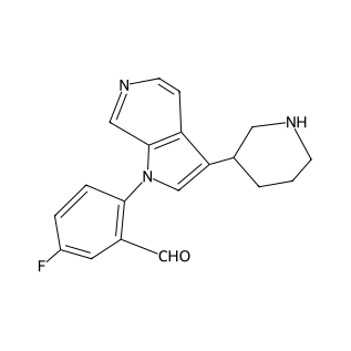 O=Cc1cc(F)ccc1-n1cc(C2CCCNC2)c2ccncc21